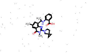 Cc1cc(C(C)Nc2ccccc2C(=O)O)c2nc(N3CCC4(CC4)C3)n(C)c(=O)c2c1